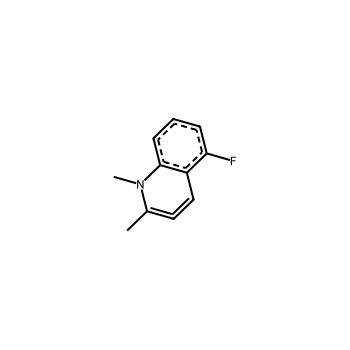 CC1=C=Cc2c(F)cccc2N1C